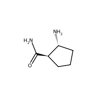 NC(=O)[C@@H]1CCC[C@H]1N